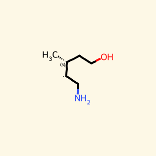 C[C@@H]([CH]CN)CCO